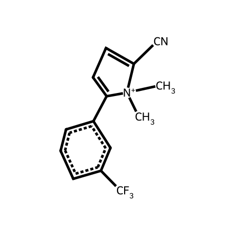 C[N+]1(C)C(C#N)=CC=C1c1cccc(C(F)(F)F)c1